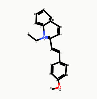 CC[n+]1c(/C=C/c2ccc(OC)cc2)ccc2ccccc21